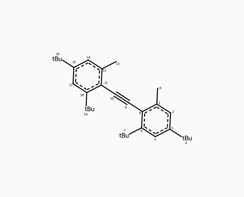 Cc1cc(C(C)(C)C)cc(C(C)(C)C)c1C#Cc1c(C)cc(C(C)(C)C)cc1C(C)(C)C